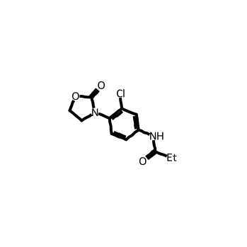 CCC(=O)Nc1ccc(N2CCOC2=O)c(Cl)c1